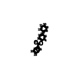 O=C(Oc1ccc(-c2ccccc2)cc1)C1CC2C=CC1O2